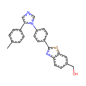 Cc1ccc(-c2cncn2-c2ccc(-c3nc4ccc(CO)cc4s3)cc2)cc1